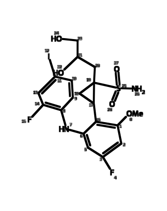 COc1cc(F)cc(Nc2ccc(I)cc2F)c1C1CC1(CC(O)CO)S(N)(=O)=O